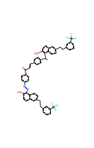 CC(c1ccc(C=CC(=O)c2ccc(N=Nc3c(O)ccc4cc(CCc5cccc(C(F)(F)F)c5)ccc34)cc2)cc1)c1c(O)ccc2cc(CCc3cccc(C(F)(F)F)c3)ccc12